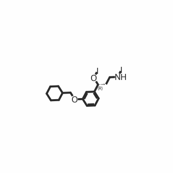 INCC[C@@H](OI)c1cccc(OCC2CCCCC2)c1